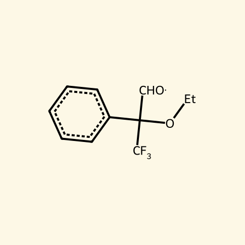 CCOC([C]=O)(c1ccccc1)C(F)(F)F